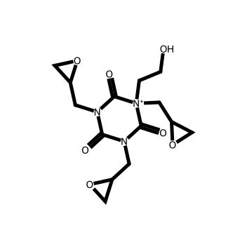 O=C1N(CC2CO2)C(=O)[N+](CCO)(CC2CO2)C(=O)N1CC1CO1